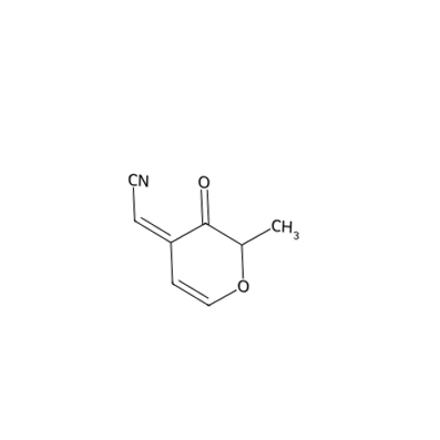 CC1OC=CC(=CC#N)C1=O